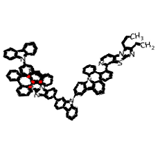 C=Cc1nc2sc3c(-c4ccccc4-c4ccccc4-n4c5ccccc5c5cc(-n6c7ccccc7c7ccc(-c8ccc9c(c8)nc8oc%10c(-c%11ccccc%11-c%11ccccc%11-n%11c%12ccccc%12c%12cc(-n%13c%14ccccc%14c%14ccccc%14%13)ccc%12%11)nccc%10n89)cc76)ccc54)nccc3n2c1/C=C\C